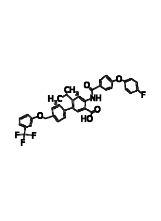 CC(C)c1cc(NC(=O)c2ccc(Oc3ccc(F)cc3)cc2)c(C(=O)O)cc1-c1ccc(COc2cccc(C(F)(F)F)c2)cc1